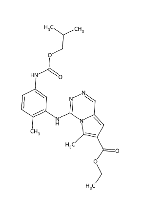 CCOC(=O)c1cc2cnnc(Nc3cc(NC(=O)OCC(C)C)ccc3C)n2c1C